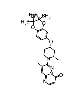 BC1(B)Oc2ccc(O[C@H]3CCN(c4nn5c(=O)ccnc5cc4C)[C@H](C)C3)cc2OC1(B)B